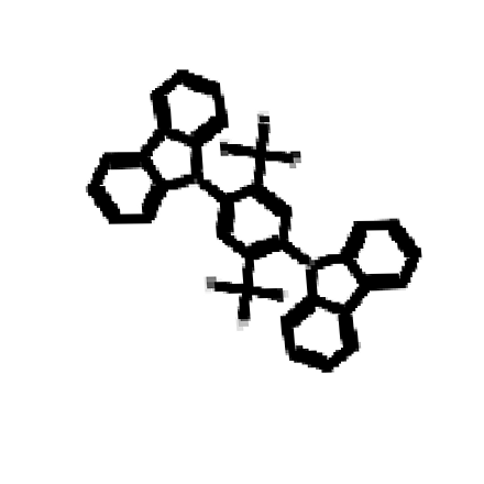 FC(F)(F)c1cc(-n2c3ccccc3c3ccccc32)c(C(F)(F)F)cc1-n1c2ccccc2c2ccccc21